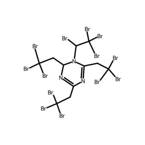 BrC(N1C(CC(Br)(Br)Br)=NC(CC(Br)(Br)Br)=NC1CC(Br)(Br)Br)C(Br)(Br)Br